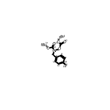 CC(C)(C)OC(=O)ON(Cc1ccc(F)cc1)C(=O)OC(C)(C)C